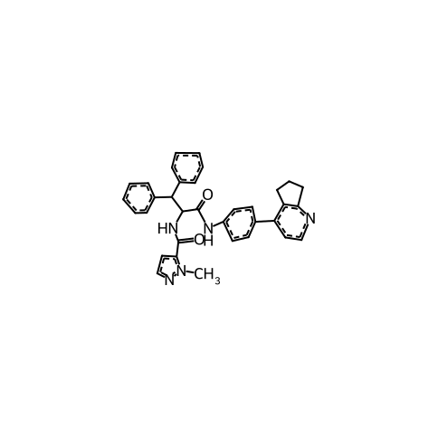 Cn1nccc1C(=O)NC(C(=O)Nc1ccc(-c2ccnc3c2CCC3)cc1)C(c1ccccc1)c1ccccc1